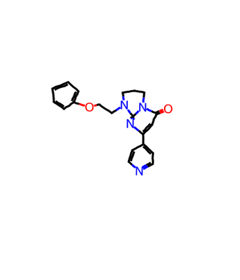 O=c1cc(-c2ccncc2)nc2n1CCCN2CCOc1ccccc1